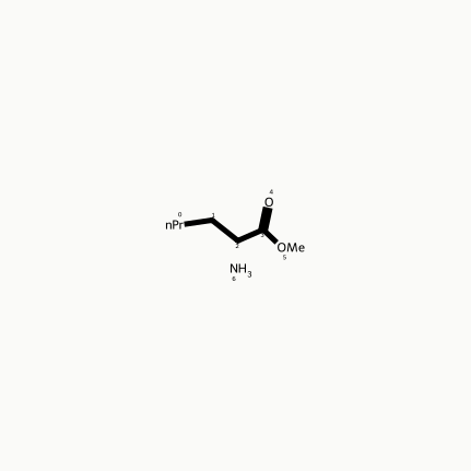 CCCCCC(=O)OC.N